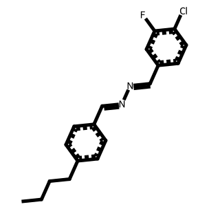 CCCCc1ccc(C=NN=Cc2ccc(Cl)c(F)c2)cc1